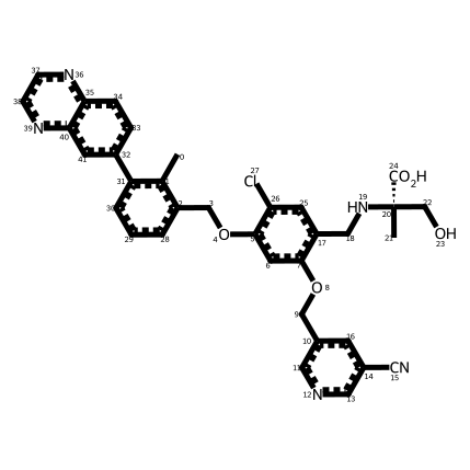 Cc1c(COc2cc(OCc3cncc(C#N)c3)c(CN[C@](C)(CO)C(=O)O)cc2Cl)cccc1-c1ccc2nccnc2c1